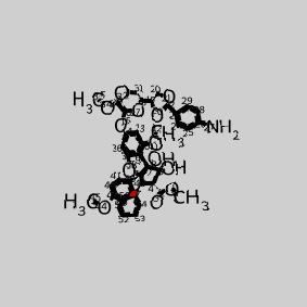 COC(=O)[C@H]1[C@@H](O)[C@@]2(O)c3c(OC)cc(OC4O[C@@H]([C@H]5COC(c6ccc(N)cc6)O5)CO[C@H]4OC)cc3O[C@@]2(c2ccc(OC)cc2)[C@@H]1c1ccccc1